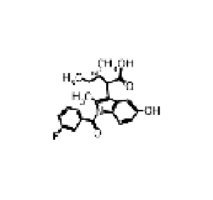 CC[C@H](C)C(C(=O)O)c1c(C)n(C(=O)c2cccc(F)c2)c2ccc(O)cc12